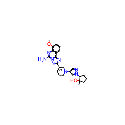 COc1cccc2c1nc(N)n1nc([C@@H]3CCCN(c4cnn(C5CCCC5(C)O)c4)C3)nc21